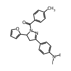 Cc1ccc(C(=O)N2N=C(c3ccc(N(I)I)cc3)CC2c2ccco2)cc1